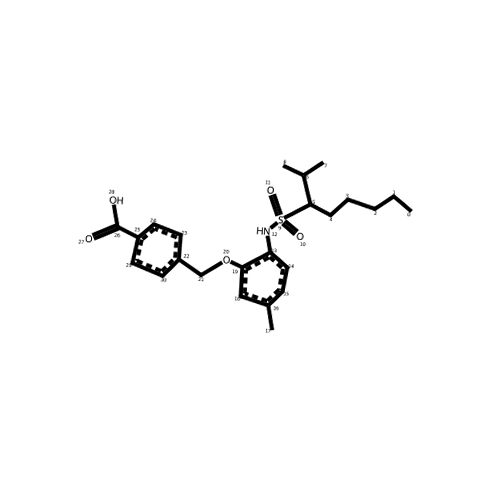 CCCCCC(C(C)C)S(=O)(=O)Nc1ccc(C)cc1OCc1ccc(C(=O)O)cc1